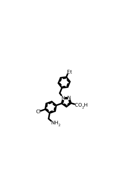 CCc1ccc(Cn2nc(C(=O)O)cc2-c2ccc(Cl)c(CN)c2)cc1